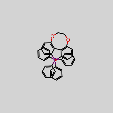 c1ccc(P(c2ccccc2)c2cccc3c2-c2c(cccc2P(c2ccccc2)c2ccccc2)OCCO3)cc1